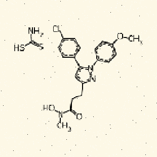 COc1ccc(-n2nc(CCC(=O)N(C)O)cc2-c2ccc(Cl)cc2)cc1.NC(=S)S